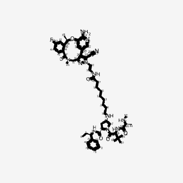 CC[C@@H](NC(=O)[C@@H]1C[C@H](NCCCCCCCCC(=O)NCCn2nc3c(c2C#N)-c2cnc(N)c(c2)O[C@H](C)c2cc(F)ccc2C(=O)N(C)C3)CN1C(=O)C(NC(=O)[C@H](C)NC)C(C)(C)C)c1ccccc1